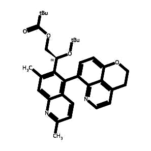 Cc1ccc2c(-c3ccc4c5c(ccnc35)CCO4)c([C@@H](COC(=O)C(C)(C)C)OC(C)(C)C)c(C)cc2n1